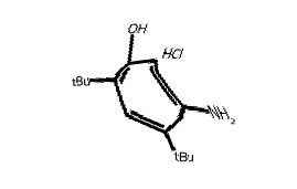 CC(C)(C)c1cc(C(C)(C)C)c(O)cc1N.Cl